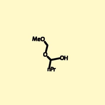 CCCC(O)OCOC